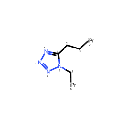 CC(C)CCc1nnnn1CC(C)C